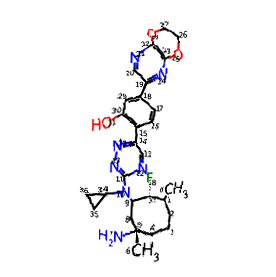 CC1CCC[C@](C)(N)C[C@H](N(c2ncc(-c3ccc(-c4cnc5c(n4)OCCO5)cc3O)nn2)C2CC2)[C@@H]1F